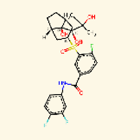 CC(C)(O)[C@@H](O)[C@@]1(O)C2CC[C@H]1C[C@H](S(=O)(=O)c1cc(C(=O)Nc3ccc(F)c(F)c3)ccc1Cl)C2